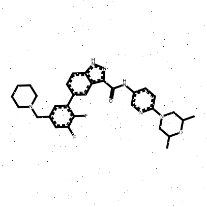 CC1CN(c2ccc(NC(=O)c3n[nH]c4ccc(-c5cc(CN6CCCCC6)cc(F)c5F)cc34)cn2)CC(C)O1